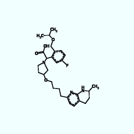 CC1CCc2ccc(CCCCOC3CCN(C(C(=O)O)c4cc(F)ccc4COC(C)C)C3)nc2N1